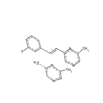 Cc1cncc(/C=C/c2cccc(F)c2)n1.Cc1cncc(C)n1